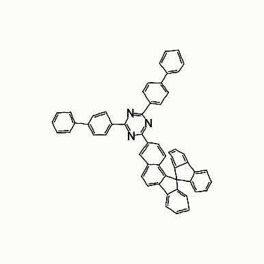 c1ccc(-c2ccc(-c3nc(-c4ccc(-c5ccccc5)cc4)nc(-c4ccc5c6c(ccc5c4)-c4ccccc4C64c5ccccc5-c5ccccc54)n3)cc2)cc1